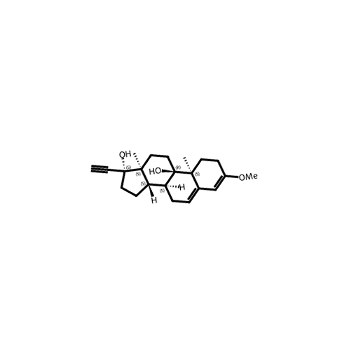 C#C[C@]1(O)CC[C@H]2[C@@H]3CC=C4C=C(OC)CC[C@]4(C)[C@@]3(O)CC[C@@]21C